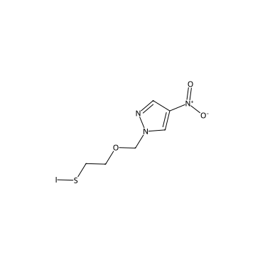 O=[N+]([O-])c1cnn(COCCSI)c1